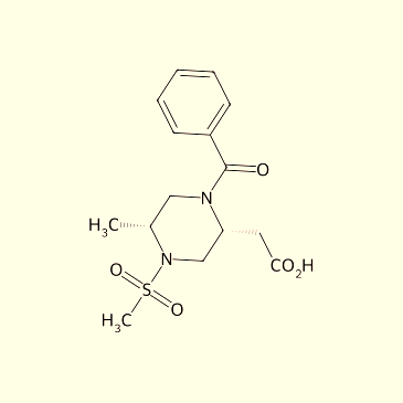 C[C@@H]1CN(C(=O)c2ccccc2)[C@H](CC(=O)O)CN1S(C)(=O)=O